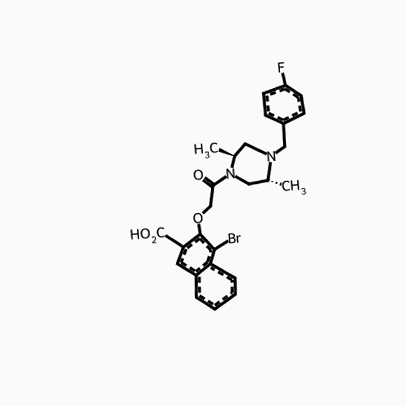 C[C@@H]1CN(C(=O)COc2c(C(=O)O)cc3ccccc3c2Br)[C@@H](C)CN1Cc1ccc(F)cc1